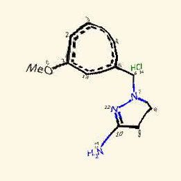 COc1cccc(CN2CCC(N)=N2)c1.Cl